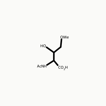 COCC(O)C(NC(C)=O)C(=O)O